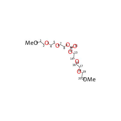 COCCOCCOCCOC(=O)OCCOCCOCCOC